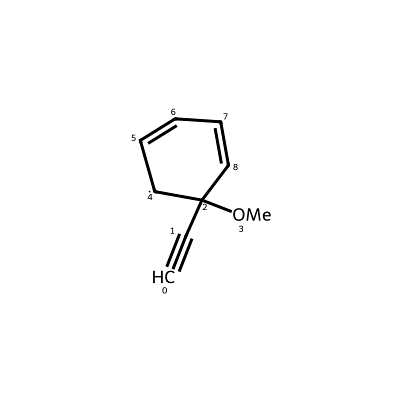 C#CC1(OC)[CH]C=CC=C1